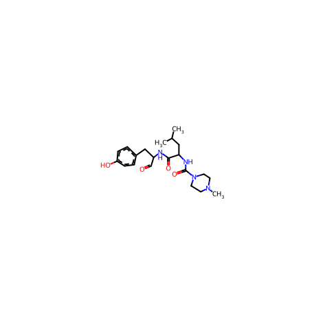 CC(C)CC(NC(=O)N1CCN(C)CC1)C(=O)NC(C=O)Cc1ccc(O)cc1